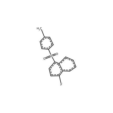 Cc1ccc(S(=O)(=O)c2ccc(F)c3ccccc23)cc1